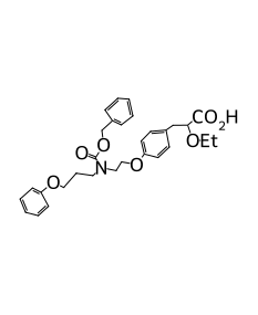 CCOC(Cc1ccc(OCCN(CCCOc2ccccc2)C(=O)OCc2ccccc2)cc1)C(=O)O